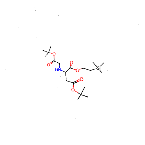 CC(C)(C)OC(=O)CNC(CC(=O)OC(C)(C)C)C(=O)OCC[Si](C)(C)C